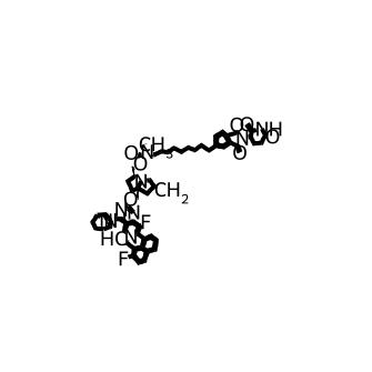 C#Cc1c(F)ccc2cccc(-c3ncc4c(N5CC6CCC(C5)N6)nc(OC[C@@]56CC[C@@H](COC(=O)N(C)CCCCCCCCCc7ccc8c(c7)C(=O)N(C7CCC(=O)NC7=O)C8=O)N5CC(=C)C6)nc4c3F)c12